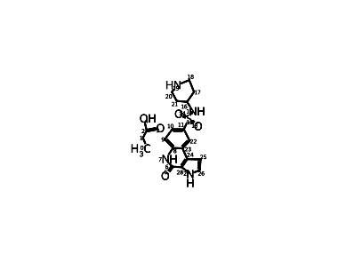 CCC(=O)O.O=c1[nH]c2ccc(S(=O)(=O)NC3CCNCC3)cc2c2cc[nH]c12